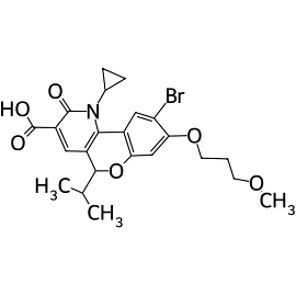 COCCCOc1cc2c(cc1Br)-c1c(cc(C(=O)O)c(=O)n1C1CC1)C(C(C)C)O2